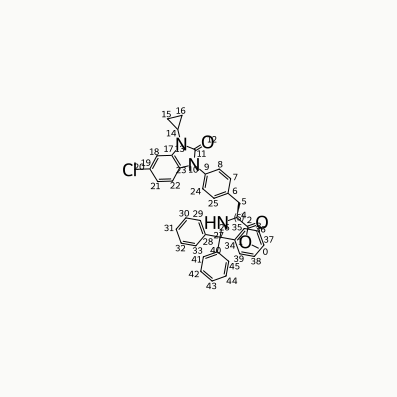 COC(=O)[C@H](Cc1ccc(-n2c(=O)n(C3CC3)c3cc(Cl)ccc32)cc1)NC(c1ccccc1)(c1ccccc1)c1ccccc1